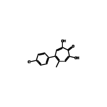 Cc1cc(O)c(=O)c(O)cc1-c1ccc(Cl)cc1